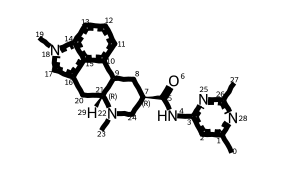 Cc1cc(NC(=O)[C@@H]2CC3c4cccc5c4c(cn5C)C[C@H]3N(C)C2)nc(C)n1